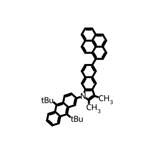 Cc1c(C)n(-c2ccc3c(C(C)(C)C)c4ccccc4c(C(C)(C)C)c3c2)c2cc3ccc(-c4ccc5ccc6cccc7ccc4c5c67)cc3cc12